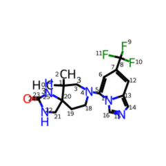 CC1(C)CN(c2cc(C(F)(F)F)cc3cncn23)CCC12CNC(=O)N2